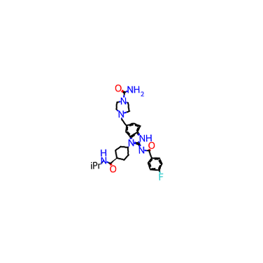 CC(C)NC(=O)[C@H]1CC[C@@H](n2/c(=N/C(=O)c3ccc(F)cc3)[nH]c3ccc(CN4CCN(C(N)=O)CC4)cc32)CC1